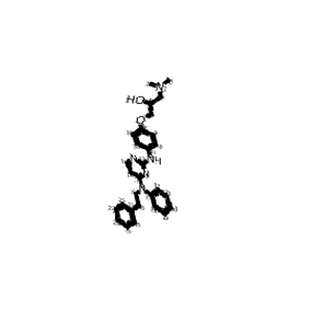 CN(C)CC(O)COc1ccc(Nc2nccc(N(CCc3ccccc3)c3ccccc3)n2)cc1